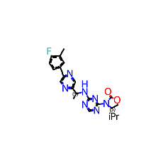 Cc1cc(-c2cnc([C@H](C)Nc3ncnc(N4C(=O)OC[C@@H]4C(C)C)n3)cn2)ccc1F